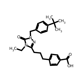 CCn1c(CCCc2ccc(C(=O)O)cc2)nn(Cc2ccc(C(C)(C)C)cc2)c1=O